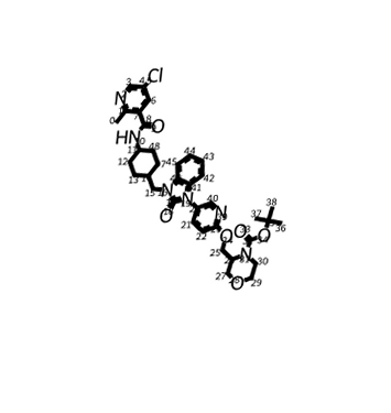 Cc1ncc(Cl)cc1C(=O)NC1CCC(Cn2c(=O)n(-c3ccc(OCC4COCCN4C(=O)OC(C)(C)C)nc3)c3ccccc32)CC1